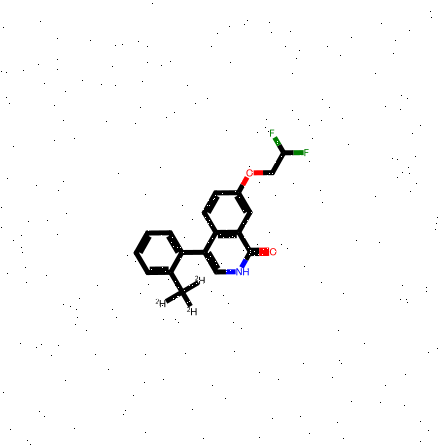 [2H]C([2H])([2H])c1ccccc1-c1c[nH]c(=O)c2cc(OCC(F)F)ccc12